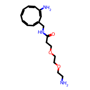 NCCOCCOCCC(=O)NCc1cccccccc(N)c1